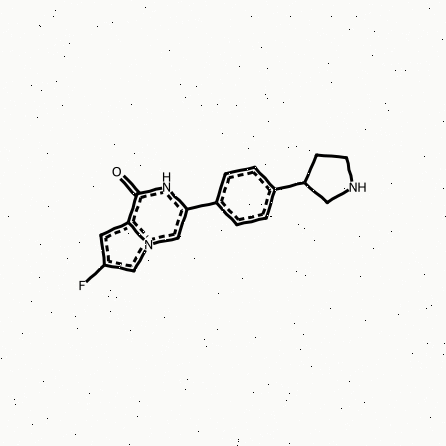 O=c1[nH]c(-c2ccc(C3CCNC3)cc2)cn2cc(F)cc12